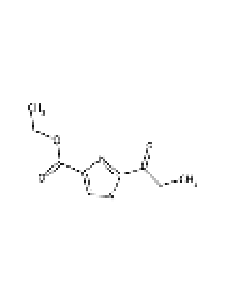 CCOC(=O)c1csc(C(=O)CC)n1